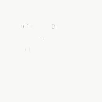 CCCC[Si](Cl)(Br)c1ccccc1